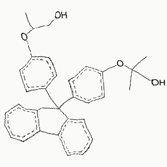 CC(CO)Oc1ccc(C2(c3ccc(OC(C)(C)O)cc3)c3ccccc3-c3ccccc32)cc1